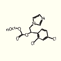 CCCCCCCCOC(=O)OC(Cn1ccnc1)c1ccc(Cl)cc1Cl